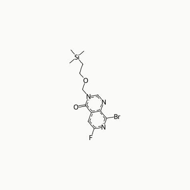 C[Si](C)(C)CCOCn1cnc2c(Br)nc(F)cc2c1=O